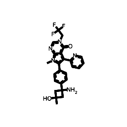 Cn1c(-c2ccc(C3(N)CC(C)(O)C3)cc2)c(-c2ccccn2)c2c(=O)n(CC(F)(F)F)cnc21